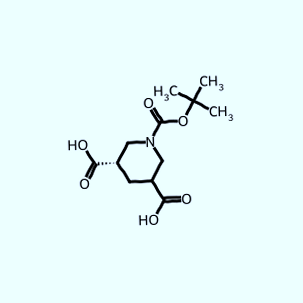 CC(C)(C)OC(=O)N1CC(C(=O)O)C[C@H](C(=O)O)C1